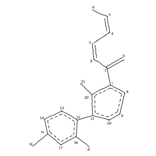 C=C(/C=C\C=C/C)c1cccc(-c2ccc(C)cc2C)c1C